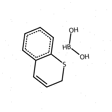 C1=Cc2ccccc2SC1.OBO